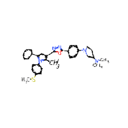 CSc1ccc(-n2c(-c3ccccc3)cc(-c3nnc(-c4ccc(N5CCC(N(C)C)C5)cc4)o3)c2C)cc1